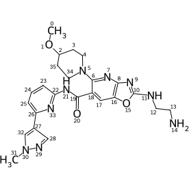 COC1CCN(c2nc3nc(NCCN)oc3cc2C(=O)Nc2cccc(-c3cnn(C)c3)n2)CC1